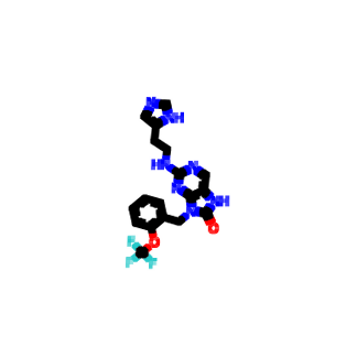 O=c1[nH]c2cnc(NCCc3cnc[nH]3)nc2n1Cc1ccccc1OC(F)(F)F